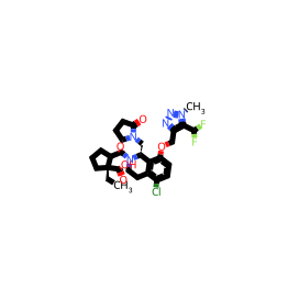 CC[C@@]1(C(=O)O)CCCC1C(=O)N1CCc2c(Cl)ccc(OCc3nnn(C)c3C(F)F)c2[C@H]1CN1CCCC1=O